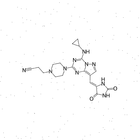 N#CCCN1CCN(c2nc(NC3CC3)n3ncc(/C=C4\NC(=O)NC4=O)c3n2)CC1